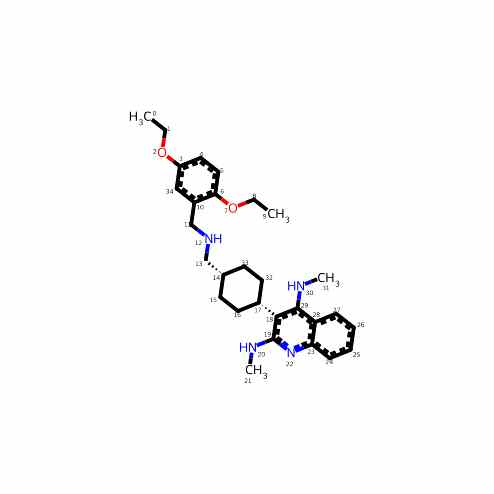 CCOc1ccc(OCC)c(CNC[C@H]2CC[C@@H](c3c(NC)nc4ccccc4c3NC)CC2)c1